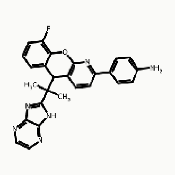 CC(C)(c1nc2nccnc2[nH]1)C1c2ccc(-c3ccc(N)cc3)nc2Oc2c(F)cccc21